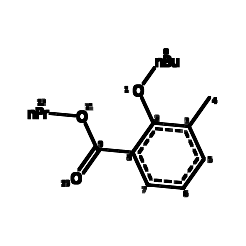 CCCCOc1c(C)cccc1C(=O)OCCC